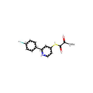 COC(=O)C(=O)Sc1ccnc(-c2ccc(F)cc2)c1